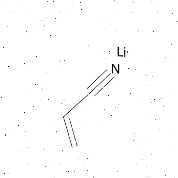 C=CC#N.[Li]